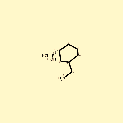 CCO.Cl.NCC1CCCCC1